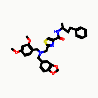 COc1ccc(CN(Cc2ccc3c(c2)OCO3)Cc2nc(C(=O)NC(C)CCc3ccccc3)cs2)c(OC)c1